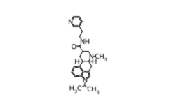 CC(C)n1cc2c3c(cccc31)[C@H]1C[C@@H](C(=O)NCCc3cccnc3)CN(C)[C@@H]1C2